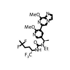 CCN(C(=O)N[C@@H](CCC(C)(F)F)C(F)(F)F)[C@H](C)c1cnc(OC)c(-c2cn3ccnc3c(OC)n2)c1